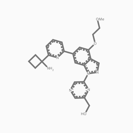 COCCOc1cc(-c2cccc(C3(N)CCC3)n2)cc2c1cnn2-c1cncc(CO)n1